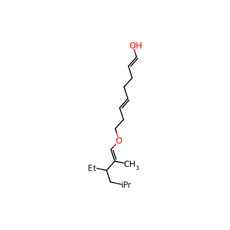 CCC(CC(C)C)C(C)=COCCC=CCCC=CO